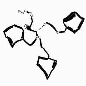 COC(=O)[C@H](CSc1ccccc1)N(Cc1ccccc1)Cc1ccccc1